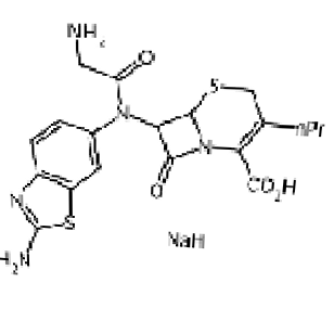 CCCC1=C(C(=O)O)N2C(=O)C(N(C(=O)CN)c3ccc4nc(N)sc4c3)C2SC1.[NaH]